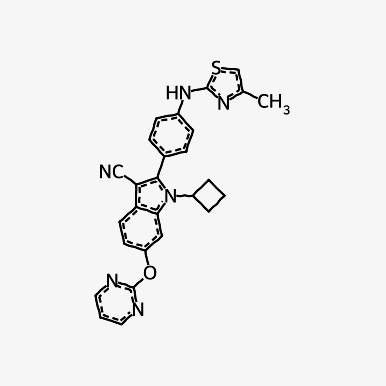 Cc1csc(Nc2ccc(-c3c(C#N)c4ccc(Oc5ncccn5)cc4n3C3CCC3)cc2)n1